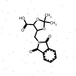 CC1(C)OC(CN2C(=O)c3ccccc3C2=O)C(C(=O)O)O1